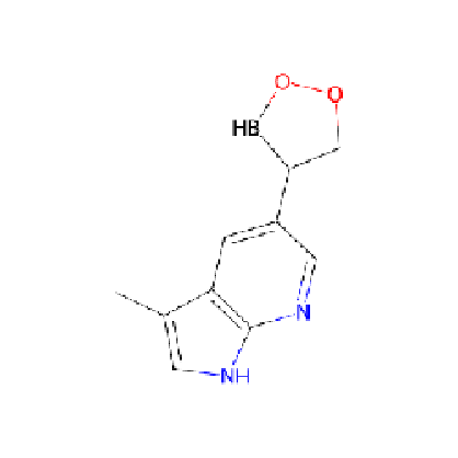 Cc1c[nH]c2ncc(C3BOOC3)cc12